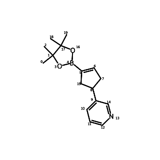 CC1(C)OB(C2=CCC(c3cccnc3)C2)OC1(C)C